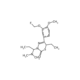 CCC1SC(=O)N(C(CC)N(C)C)N=C1c1ccc(OC)c(OCF)c1